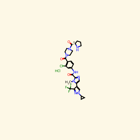 Cl.Cn1c(-c2cn(C3CC3)nc2C(F)(F)F)cnc1C(=O)Nc1ccc(C(=O)N2CCN(C(=O)[C@@H]3CCCN3)CC2)c(Cl)c1